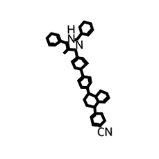 CC1=C(C2=CCCC=C2)NC(C2C=CCCC2)N=C1C1=CCC(C2=CCC(C3CCC(C4=CC=C(C#N)CC4)C4C=CCCC43)C=C2)C=C1